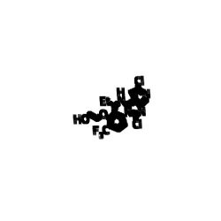 CC[C@@H](Nc1nc(Cl)nc2cnc(Cl)cc12)c1cccc(C(F)(F)F)c1OCCO